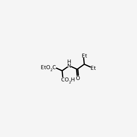 CCOC(=O)C(NC(=O)C(CC)CC)C(=O)O